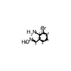 Nc1c(Br)cccc1C=NO